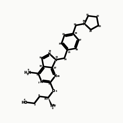 CCC[C@H](CCO)Oc1nc(N)c2cnn(Cc3ccc(CN4CCCC4)cc3)c2n1